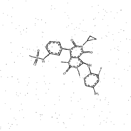 Bc1ccc(Nc2c3c(=O)n(C4CC4)c(=O)n(-c4cccc(NS(C)(=O)=O)c4)c3c(C)c(=O)n2C)c(F)c1